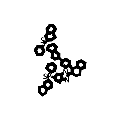 S=P(c1ccccc1)(c1ccc2ccccc2c1)c1ccc2cc(-c3ccc4c5c(c6nc7ccc(P(=S)(c8ccccc8)c8ccc9c(c8)C=CCC9)cc7n6c4c3)CCc3ccccc3-5)ccc2c1